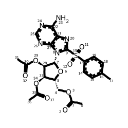 CC(=O)OC[C@H]1O[C@@H](n2c(S(=O)(=O)c3ccc(C)cc3)nc3c(N)ncnc32)[C@H](OC(C)=O)[C@@H]1OC(C)=O